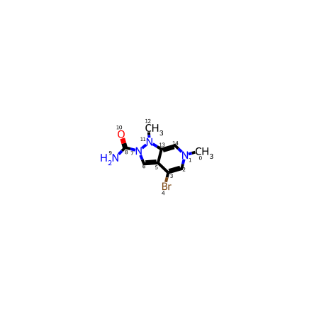 CN1C=C(Br)C2=CN(C(N)=O)N(C)C2=C1